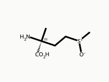 C[S+]([O-])CC[C@](C)(N)C(=O)O